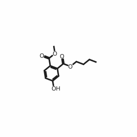 CCCCOC(=O)c1cc(O)ccc1C(=O)OC